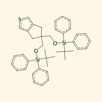 CC(C)(C)[Si](OCC1(CO[Si](c2ccccc2)(c2ccccc2)C(C)(C)C)Cc2cscc2C1)(c1ccccc1)c1ccccc1